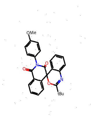 COc1ccc(N2C(=O)c3ccccc3C3(OC(C(C)(C)C)=Nc4ccccc43)C2=O)cc1